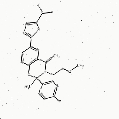 C=C1c2cc(-c3nnc(C(F)F)o3)ccc2OC(C)(c2ccc(F)cc2)N1CCOC